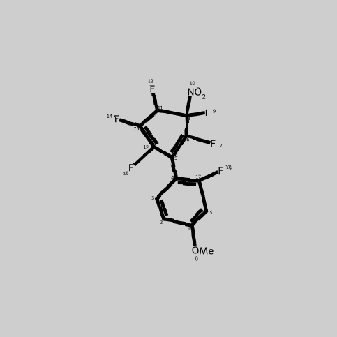 COc1ccc(C2=C(F)C(I)([N+](=O)[O-])C(F)C(F)=C2F)c(F)c1